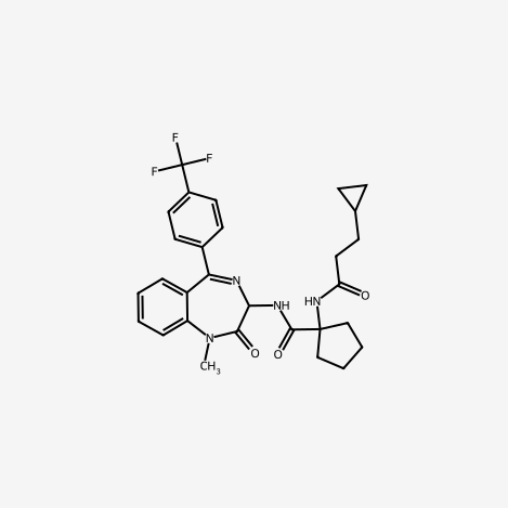 CN1C(=O)C(NC(=O)C2(NC(=O)CCC3CC3)CCCC2)N=C(c2ccc(C(F)(F)F)cc2)c2ccccc21